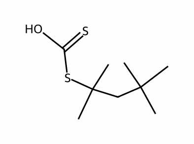 CC(C)(C)CC(C)(C)SC(O)=S